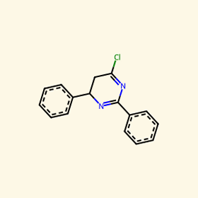 ClC1=NC(c2ccccc2)=NC(c2ccccc2)C1